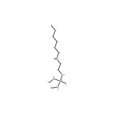 CCCCCCNCCO[Si](C)(OC)OC